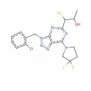 CC(O)C(S)c1nc(N2CCC(F)(F)C2)c2nnn(Cc3ccccc3Cl)c2n1